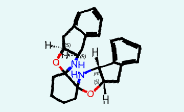 c1ccc2c(c1)C[C@@H]1OC3(CCCCC34N[C@@H]3c5ccccc5C[C@@H]3O4)N[C@H]21